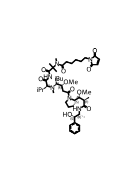 CC[C@H](C)[C@@H]([C@@H](CC(=O)N1CCC[C@H]1[C@H](OC)[C@@H](C)C(=O)N[C@H](C)[C@@H](O)c1ccccc1)OC)N(C)[C@H](C(=O)NC(=O)C(C)(C)N(C)C(=O)CCCCCN1C(=O)C=CC1=O)C(C)C